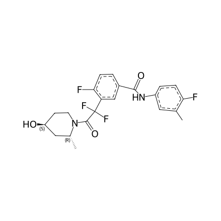 Cc1cc(NC(=O)c2ccc(F)c(C(F)(F)C(=O)N3CC[C@H](O)C[C@H]3C)c2)ccc1F